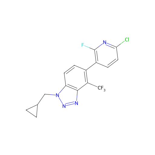 Fc1nc(Cl)ccc1-c1ccc2c(nnn2CC2CC2)c1C(F)(F)F